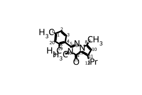 Cc1ccc(-c2nn3c(C)cc(C(C)C)c3c(=O)n2C)c(C)c1